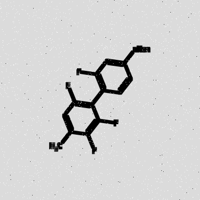 CCCCCCCCCc1ccc(-c2c(F)cc(C)c(F)c2F)c(F)c1